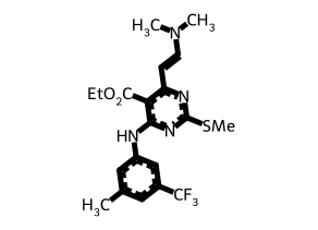 CCOC(=O)c1c(/C=C/N(C)C)nc(SC)nc1Nc1cc(C)cc(C(F)(F)F)c1